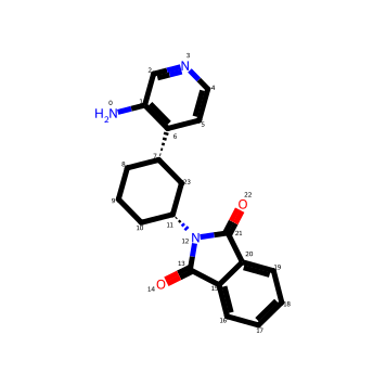 Nc1cnccc1[C@H]1CCC[C@@H](N2C(=O)c3ccccc3C2=O)C1